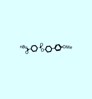 CCCCC(=O)[C@H]1CC[C@H](C(=O)O[C@H]2CC[C@H](c3ccc(OC)cc3)CC2)CC1